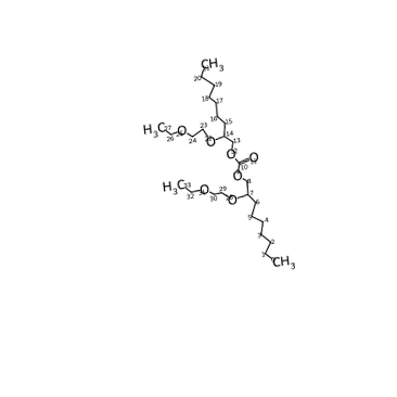 CCCCCCCC(COC(=O)OCC(CCCCCCC)OCCOCC)OCCOCC